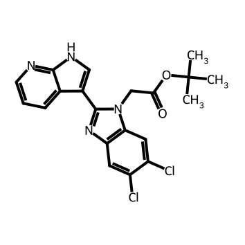 CC(C)(C)OC(=O)Cn1c(-c2c[nH]c3ncccc23)nc2cc(Cl)c(Cl)cc21